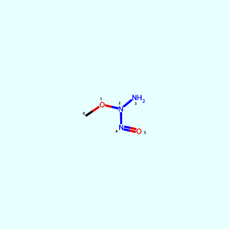 CON(N)N=O